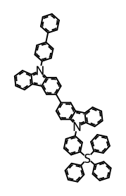 c1ccc(-c2ccc(-n3c4ccccc4c4cc(-c5ccc6c(c5)c5ccccc5n6-c5cccc(S(c6ccccc6)(c6ccccc6)c6ccccc6)c5)ccc43)cc2)cc1